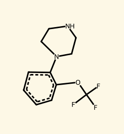 FC(F)(F)Oc1ccccc1N1CCNCC1